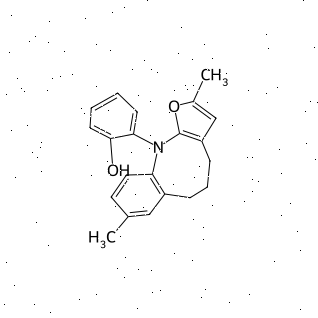 Cc1ccc2c(c1)CCCc1cc(C)oc1N2c1ccccc1O